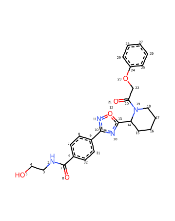 O=C(NCCO)c1ccc(-c2noc(C3CCCCN3C(=O)COc3ccccc3)n2)cc1